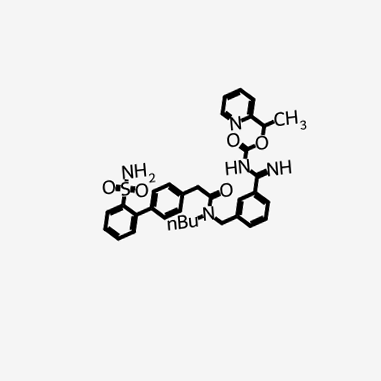 CCCCN(Cc1cccc(C(=N)NC(=O)OC(C)c2ccccn2)c1)C(=O)Cc1ccc(-c2ccccc2S(N)(=O)=O)cc1